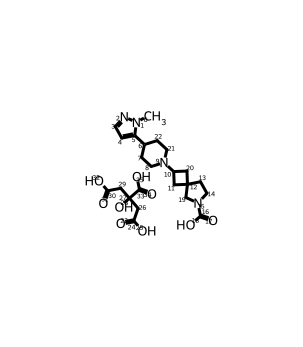 Cn1nccc1C1CCN(C2CC3(CCN(C(=O)O)C3)C2)CC1.O=C(O)CC(O)(CC(=O)O)C(=O)O